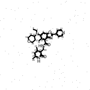 CCN(c1cc2oc(-c3ccncc3)nc2c(C(=O)NCc2c(C)cc(C)[nH]c2=O)c1C)C1CCOCC1